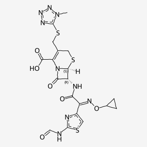 Cn1nnnc1SCC1=C(C(=O)O)N2C(=O)[C@@H](NC(=O)C(=NOC3CC3)c3csc(NC=O)n3)[C@@H]2SC1